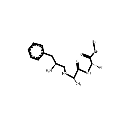 CCNC(=O)[C@@H](NC(=O)[C@H](C)NC[C@@H](N)Cc1ccccc1)C(C)C